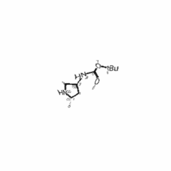 C[C@H]1C[C@H](NC(=O)OC(C)(C)C)CN1